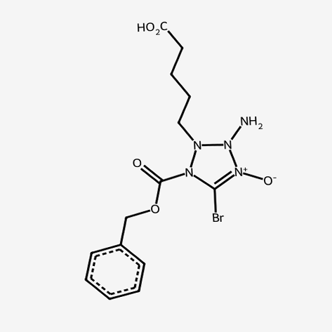 NN1N(CCCCC(=O)O)N(C(=O)OCc2ccccc2)C(Br)=[N+]1[O-]